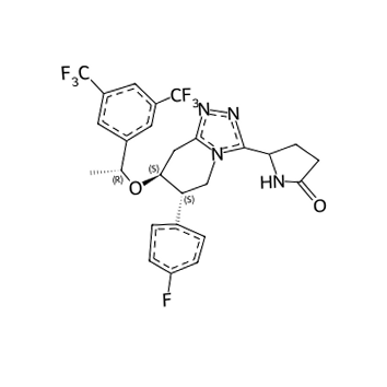 C[C@@H](O[C@H]1Cc2nnc(C3CCC(=O)N3)n2C[C@@H]1c1ccc(F)cc1)c1cc(C(F)(F)F)cc(C(F)(F)F)c1